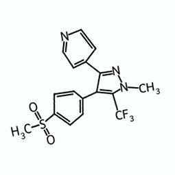 Cn1nc(-c2ccncc2)c(-c2ccc(S(C)(=O)=O)cc2)c1C(F)(F)F